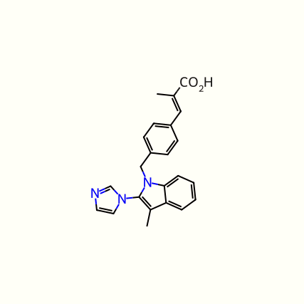 C/C(=C\c1ccc(Cn2c(-n3ccnc3)c(C)c3ccccc32)cc1)C(=O)O